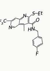 CCSc1nc2cc(C(F)(F)F)ncc2c(C)c1C(=O)NCc1ccc(F)cc1